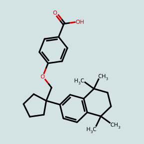 CC1(C)CCC(C)(C)c2cc(C3(COc4ccc(C(=O)O)cc4)CCCC3)ccc21